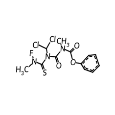 CN(F)C(=S)N(C(=O)N(C)C(=O)Oc1ccccc1)C(Cl)Cl